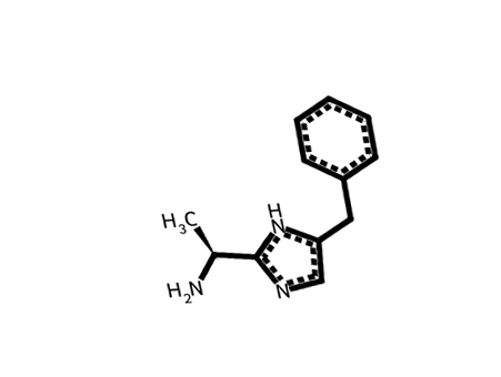 C[C@H](N)c1ncc(Cc2ccccc2)[nH]1